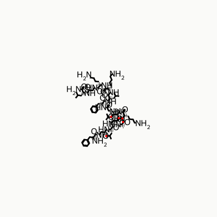 CC(C)C[C@H](NC(=O)CNC(=O)[C@H](CCCCN)NC(=O)[C@H](CCCCN)NC(=O)[C@H](CC(C)C)NC(=O)[C@H](Cc1ccccc1)NC(=O)CNC(=O)[C@H](CC(C)C)NC(=O)[C@H](CCCCN)NC(=O)[C@H](C)NC(=O)[C@H](CC(C)C)NC(=O)[C@H](CC(C)C)NC(=O)CNC(=O)[C@@H](N)Cc1ccccc1)C(N)=O